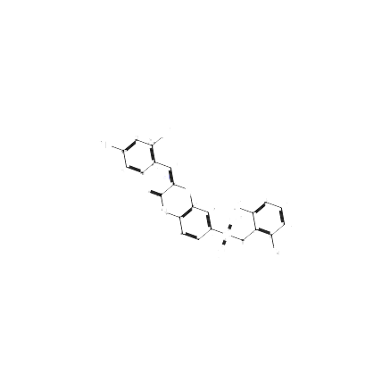 O=C1Nc2ccc(S(=O)(=O)Cc3c(Br)cccc3Br)cc2S/C1=C/c1ccc(F)cc1F